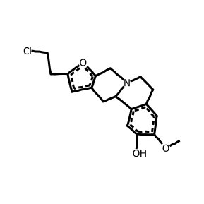 COc1cc2c(cc1O)C1Cc3cc(CCCl)oc3CN1CC2